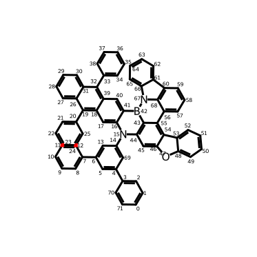 c1ccc(-c2cc(-c3ccccc3)cc(N3c4cc5c(-c6ccccc6)c6ccccc6c(-c6ccccc6)c5cc4B4c5c3cc3oc6ccccc6c3c5-c3cccc5c6ccccc6n4c35)c2)cc1